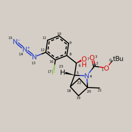 CC(C)(C)OC(=O)N1[C@@H]([C@H](O)c2cccc(N=[N+]=[N-])c2F)C2CC1(C)C2